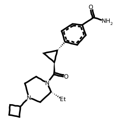 CC[C@@H]1CN(C2CCC2)CCN1C(=O)[C@H]1C[C@@H]1c1ccc(C(N)=O)cc1